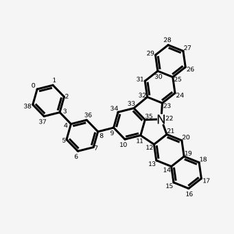 c1ccc(-c2cccc(-c3cc4c5cc6ccccc6cc5n5c6cc7ccccc7cc6c(c3)c45)c2)cc1